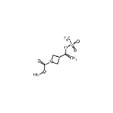 C=C(OS(=O)(=O)C(F)(F)F)C1CN(C(=O)OC(C)(C)C)C1